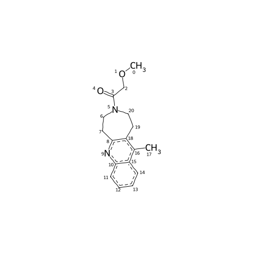 COCC(=O)N1CCc2nc3ccccc3c(C)c2CC1